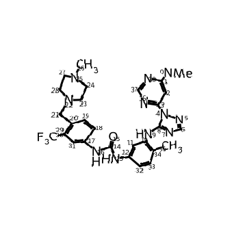 CNc1cc(-n2ncnc2Nc2cc(NC(=O)Nc3ccc(CN4CCN(C)CC4)c(C(F)(F)F)c3)ccc2C)ncn1